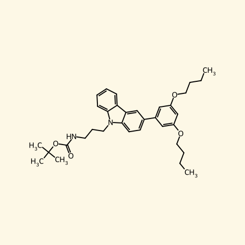 CCCCOc1cc(OCCCC)cc(-c2ccc3c(c2)c2ccccc2n3CCCNC(=O)OC(C)(C)C)c1